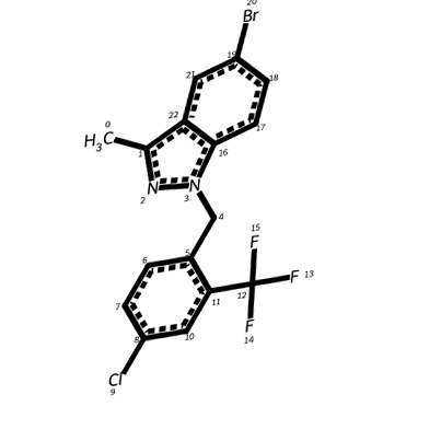 Cc1nn(Cc2ccc(Cl)cc2C(F)(F)F)c2ccc(Br)cc12